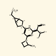 CC1CCN1C1=N/C(=C(/C=N)C(F)F)NC(N2CC3C(CC(=O)O)C3C2)=C1